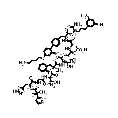 CCc1cc(OCCCCN)ccc1-c1ccc(C[C@H](NC(=O)[C@H](CC(=O)O)NC(=O)[C@H](CO)NC(=O)[C@@H](NC(=O)[C@](C)(Cc2ccccc2F)NC(=O)[C@@H](NC(=O)CNC(=O)[C@H](Cc2nn[nH]n2)NC(=O)C(C)(C)c2ccn[nH]2)[C@@H](C)O)[C@@H](C)O)C(=O)N[C@@H](CCCc2cc(C)cc(C)c2)C(N)=O)cc1